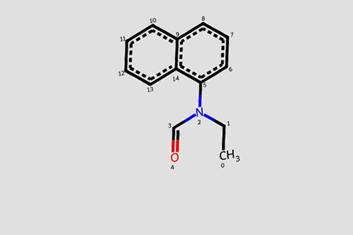 CCN(C=O)c1cccc2ccccc12